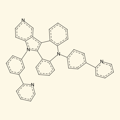 c1ccc(-c2ccc(N3c4ccccc4-c4c(n(-c5cccc(-c6ccccn6)c5)c5ccncc45)-c4ccccc43)cc2)nc1